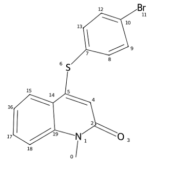 Cn1c(=O)cc(Sc2ccc(Br)cc2)c2ccccc21